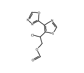 O=COCC(Cl)c1scnc1-c1nnco1